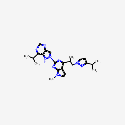 CC(C)c1ccn(CC(C)c2nc(-[n+]3cc4ncnc(C(C)C)c4[nH]3)nc3c2ccn3C)n1